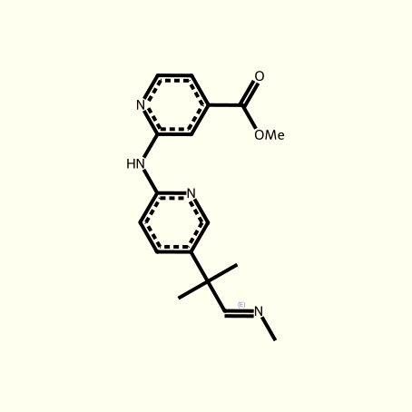 C/N=C/C(C)(C)c1ccc(Nc2cc(C(=O)OC)ccn2)nc1